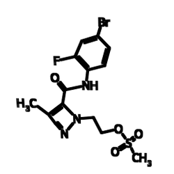 Cc1cnn(CCOS(C)(=O)=O)c1C(=O)Nc1ccc(Br)cc1F